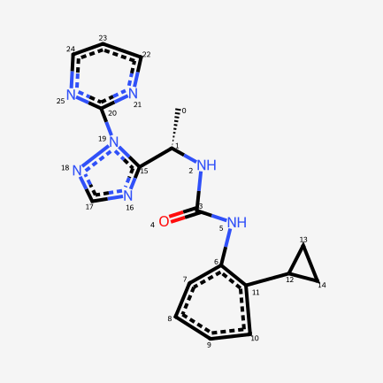 C[C@H](NC(=O)Nc1ccccc1C1CC1)c1ncnn1-c1ncccn1